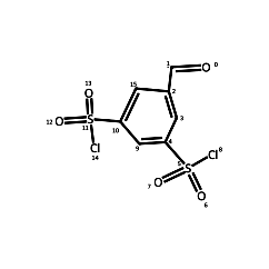 O=[C]c1cc(S(=O)(=O)Cl)cc(S(=O)(=O)Cl)c1